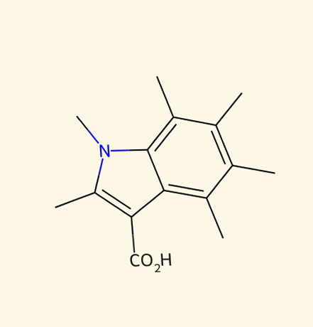 Cc1c(C)c(C)c2c(c1C)c(C(=O)O)c(C)n2C